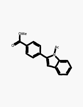 COC(=O)c1ccc(-c2cc3ccccc3n2C(C)=O)cc1